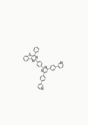 c1ccc(-c2nc(-c3ccc(-c4nc(-c5ccc(-c6cccnc6)cc5)cc(-c5ccc(-c6cccnc6)cc5)n4)cc3)nc3c2sc2ccccc23)cc1